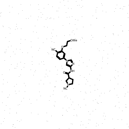 COCCOc1cc(-n2cnc(NC(=O)C3CCN(C#N)C3)c2)ccc1C#N